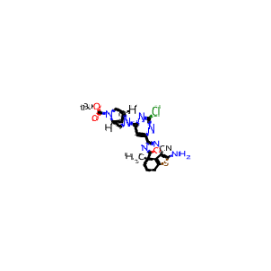 CC(C)(C)OC(=O)N1C[C@@H]2C[C@H]1CN2c1cc(-c2noc([C@@]3(C)CCCc4sc(N)c(C#N)c43)n2)nc(Cl)n1